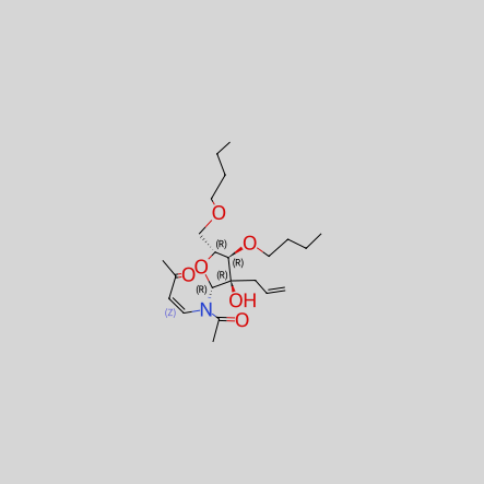 C=CC[C@@]1(O)[C@H](OCCCC)[C@@H](COCCCC)O[C@H]1N(/C=C\C(C)=O)C(C)=O